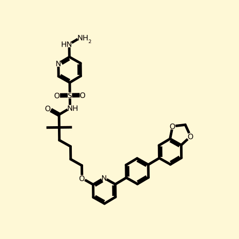 CC(C)(CCCCOc1cccc(-c2ccc(-c3ccc4c(c3)OCO4)cc2)n1)C(=O)NS(=O)(=O)c1ccc(NN)nc1